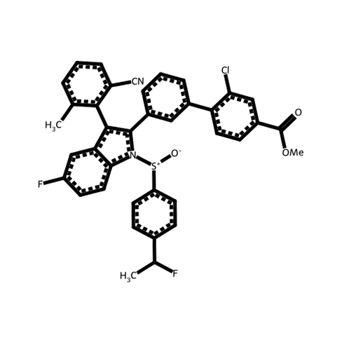 COC(=O)c1ccc(-c2cccc(-c3c(-c4c(C)cccc4C#N)c4cc(F)ccc4n3[S+]([O-])c3ccc(C(C)F)cc3)c2)c(Cl)c1